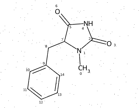 CN1C(=O)NC(=O)C1Cc1ccccc1